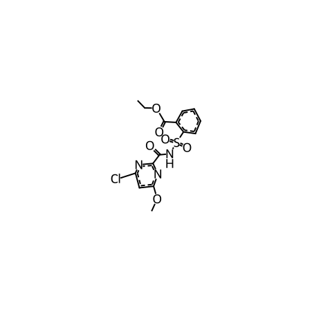 CCOC(=O)c1ccccc1S(=O)(=O)NC(=O)c1nc(Cl)cc(OC)n1